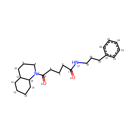 O=C(CCCC(=O)N1CCCC2CCCCC21)NCCCc1ccccc1